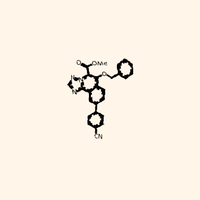 COC(=O)c1c(OCc2ccccc2)c2ccc(-c3ccc(C#N)cc3)cc2c2ncnn12